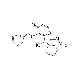 N/N=C\C1(C(O)c2occc(=O)c2OCc2ccccc2)CCCCC1